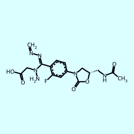 C=N/N=C(/c1ccc(N2C[C@H](CNC(C)=O)OC2=O)cc1F)N(N)CC(=O)O